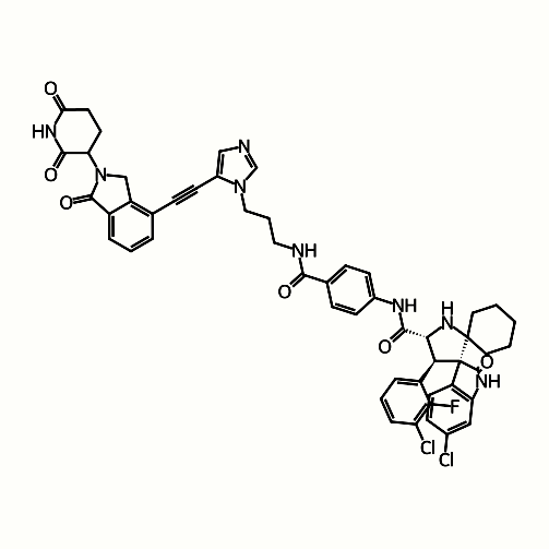 O=C1CCC(N2Cc3c(C#Cc4cncn4CCCNC(=O)c4ccc(NC(=O)[C@@H]5NC6(CCCCC6)[C@@]6(C(=O)Nc7cc(Cl)ccc76)[C@H]5c5cccc(Cl)c5F)cc4)cccc3C2=O)C(=O)N1